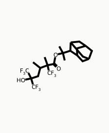 CC(CC(O)(C(F)(F)F)C(F)(F)F)C(C)(C(=O)OC(C)(C)C1C2CC3CC(C2)CC1C3)C(F)(F)F